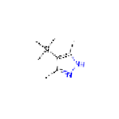 Cc1n[nH]c(C)c1[Si](C)(C)C